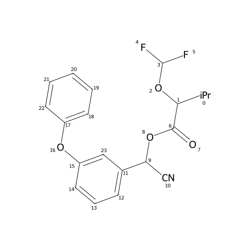 CC(C)C(OC(F)F)C(=O)OC(C#N)c1cccc(Oc2ccccc2)c1